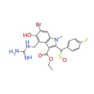 CCOC(=O)c1c(C(=S=O)c2ccc(F)cc2)n(C)c2cc(Br)c(O)c(CNC(=N)N)c12